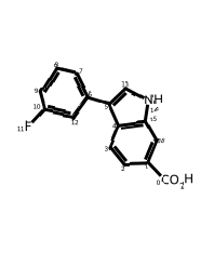 O=C(O)c1ccc2c(-c3cccc(F)c3)c[nH]c2c1